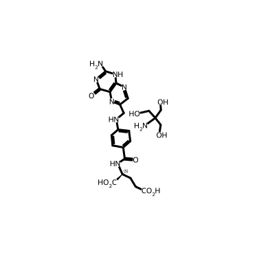 NC(CO)(CO)CO.Nc1nc(=O)c2nc(CNc3ccc(C(=O)N[C@@H](CCC(=O)O)C(=O)O)cc3)cnc2[nH]1